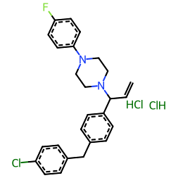 C=CC(c1ccc(Cc2ccc(Cl)cc2)cc1)N1CCN(c2ccc(F)cc2)CC1.Cl.Cl